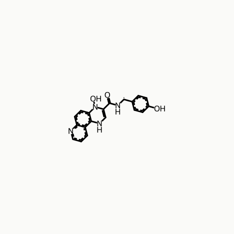 O=C(N[CH]c1ccc(O)cc1)C1=CNc2c(ccc3ncccc23)N1O